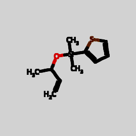 C=CC(C)O[Si](C)(C)c1cccs1